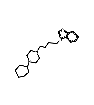 c1ccc2c(c1)ncn2CCCCN1CCN(C2CCCCC2)CC1